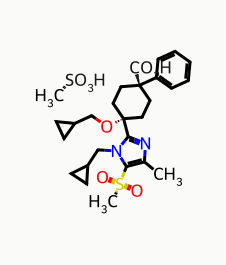 CS(=O)(=O)O.Cc1nc([C@]2(OCC3CC3)CC[C@@](C(=O)O)(c3ccccc3)CC2)n(CC2CC2)c1S(C)(=O)=O